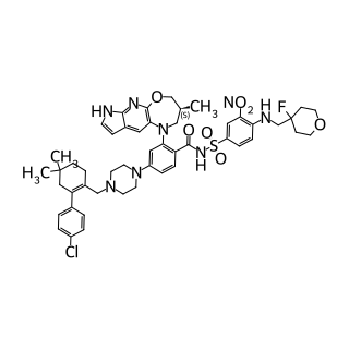 C[C@@H]1COc2nc3[nH]ccc3cc2N(c2cc(N3CCN(CC4=C(c5ccc(Cl)cc5)CC(C)(C)CC4)CC3)ccc2C(=O)NS(=O)(=O)c2ccc(NCC3(F)CCOCC3)c([N+](=O)[O-])c2)C1